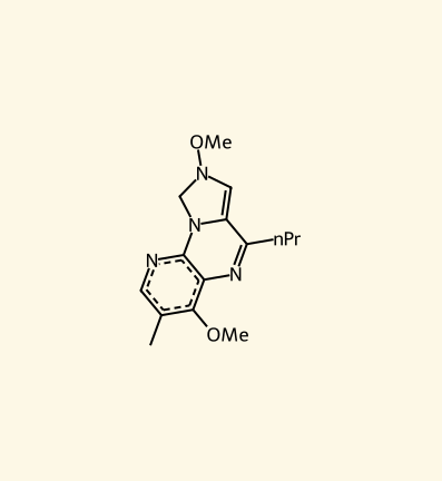 CCCC1=Nc2c(ncc(C)c2OC)N2CN(OC)C=C12